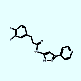 O=C(CCc1ccc(F)c(F)c1)Nc1cc(-c2ccncc2)n[nH]1